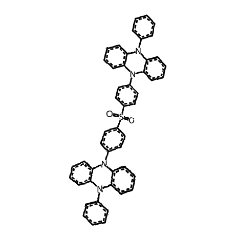 O=S(=O)(c1ccc(N2c3ccccc3N(c3ccccc3)c3ccccc32)cc1)c1ccc(N2c3ccccc3N(c3ccccc3)c3ccccc32)cc1